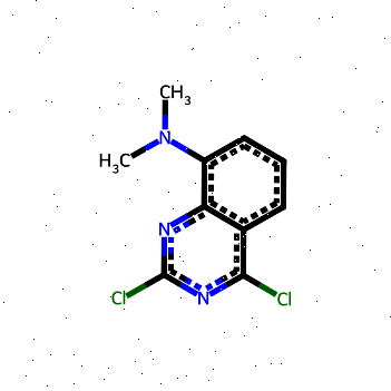 CN(C)c1cccc2c(Cl)nc(Cl)nc12